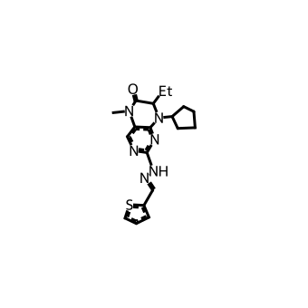 CCC1C(=O)N(C)c2cnc(NN=Cc3cccs3)nc2N1C1CCCC1